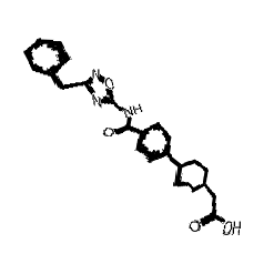 O=C(O)CC1CCC(c2ccc(C(=O)Nc3nc(Cc4ccccc4)no3)cc2)CC1